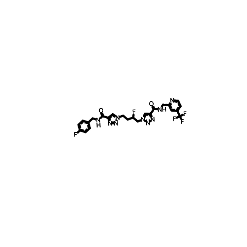 O=C(NCc1ccc(F)cc1)c1cn(CCC(F)Cn2cc(C(=O)NCc3cc(C(F)(F)F)ccn3)nn2)nn1